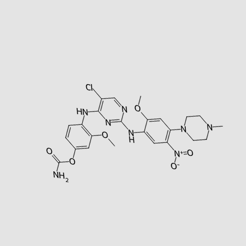 COc1cc(N2CCN(C)CC2)c([N+](=O)[O-])cc1Nc1ncc(Cl)c(Nc2ccc(OC(N)=O)cc2OC)n1